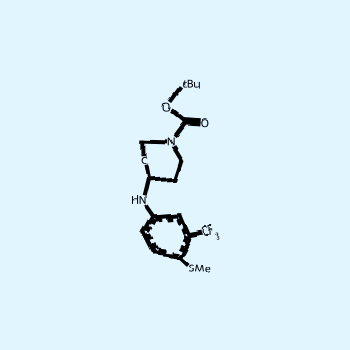 CSc1ccc(NC2CCN(C(=O)OC(C)(C)C)CC2)cc1C(F)(F)F